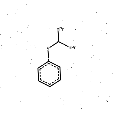 C[CH]CC(CCC)Sc1ccccc1